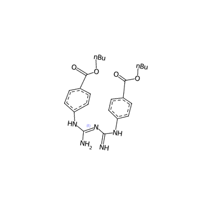 CCCCOC(=O)c1ccc(NC(=N)/N=C(\N)Nc2ccc(C(=O)OCCCC)cc2)cc1